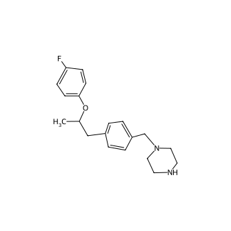 CC(Cc1ccc(CN2CCNCC2)cc1)Oc1ccc(F)cc1